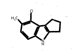 Cc1ccc2[nH]c3c(c2c1Cl)CCC3